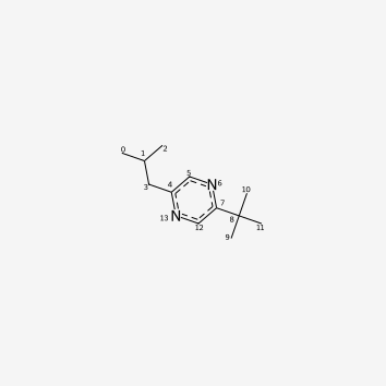 CC(C)Cc1cnc(C(C)(C)C)cn1